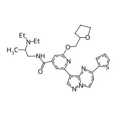 CCN(CC)C(C)CNC(=O)c1cc(OCC2CCCO2)nc(-c2cnn3ccc(-c4cccs4)nc23)c1